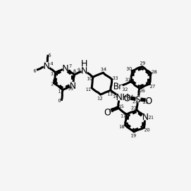 Cc1cc(N(C)C)nc(NC2CCC(NC(=O)c3cccnc3S(=O)(=O)c3ccccc3Br)CC2)n1